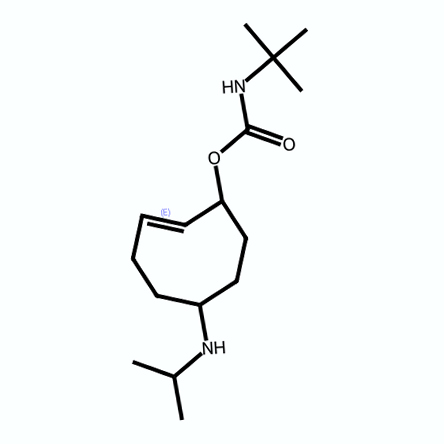 CC(C)NC1CC/C=C/C(OC(=O)NC(C)(C)C)CC1